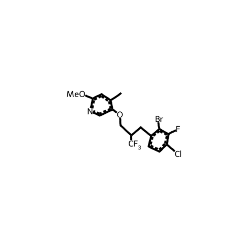 COc1cc(C)c(OCC(Cc2ccc(Cl)c(F)c2Br)C(F)(F)F)cn1